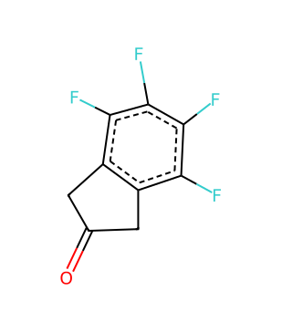 O=C1Cc2c(F)c(F)c(F)c(F)c2C1